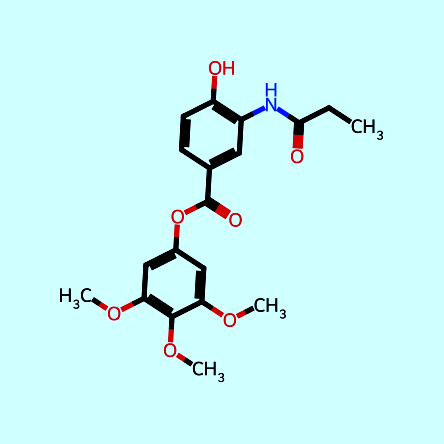 CCC(=O)Nc1cc(C(=O)Oc2cc(OC)c(OC)c(OC)c2)ccc1O